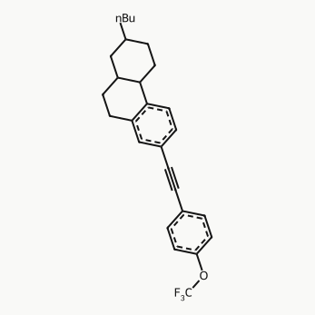 CCCCC1CCC2c3ccc(C#Cc4ccc(OC(F)(F)F)cc4)cc3CCC2C1